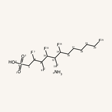 N.O=S(=O)(O)CC(F)C(F)C(F)C(F)C(F)CCCCCF